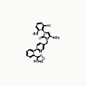 CCCCc1cn(-c2c(C(C)=O)cccc2C(C)(C)C)c(=O)n1Cc1ccc(-c2ccccc2-c2nnn[nH]2)nc1